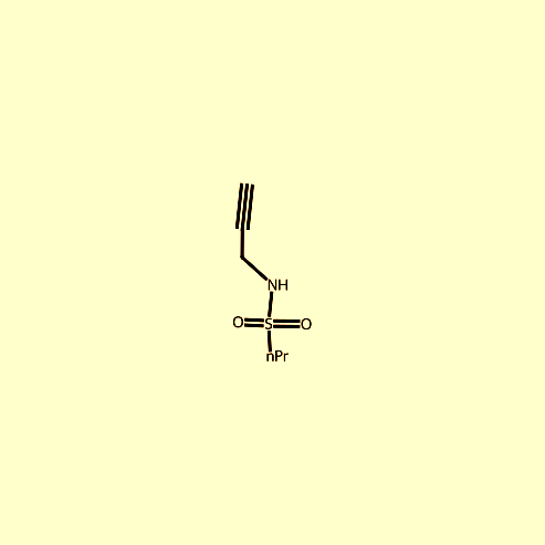 C#CCNS(=O)(=O)CCC